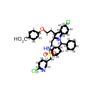 O=C(O)c1ccc(OCCc2c(CCNS(=O)(=O)Cc3ccc(Cl)nc3)n(C(c3ccccc3)c3ccccc3)c3ccc(Cl)cc23)cc1